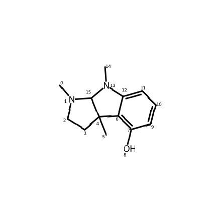 CN1CCC2(C)c3c(O)cccc3N(C)C12